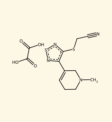 CN1CCC=C(c2nsnc2SCC#N)C1.O=C(O)C(=O)O